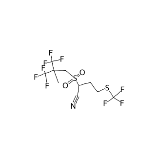 CC(CS(=O)(=O)C(C#N)CCSC(F)(F)F)(C(F)(F)F)C(F)(F)F